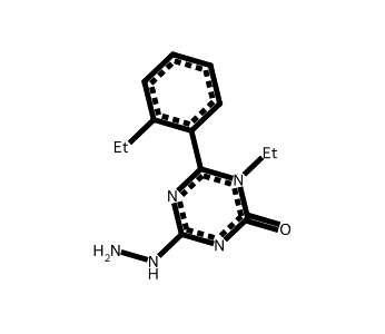 CCc1ccccc1-c1nc(NN)nc(=O)n1CC